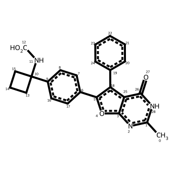 Cc1nc2oc(-c3ccc(C4(NC(=O)O)CCC4)cc3)c(-c3ccccc3)c2c(=O)[nH]1